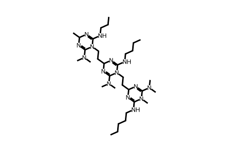 CCCCCNC1=NC(CCN2C(NCCCC)=NC(CCN3C(NCCC)=NC(C)N=C3N(C)C)N=C2N(C)C)N=C(N(C)C)N1C